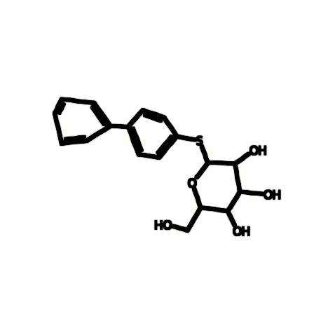 OCC1OC(Sc2ccc(-c3ccccc3)cc2)C(O)C(O)C1O